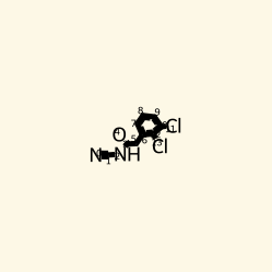 N#CNC(=O)Cc1cccc(Cl)c1Cl